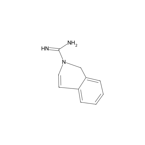 N=C(N)N1C=Cc2ccccc2C1